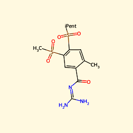 CCCC(C)S(=O)(=O)c1cc(C)c(C(=O)N=C(N)N)cc1S(C)(=O)=O